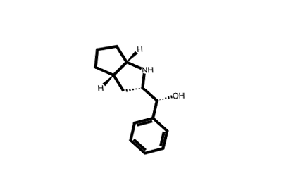 O[C@H](c1ccccc1)[C@@H]1C[C@@H]2CCC[C@@H]2N1